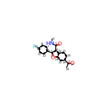 CNC(=O)c1c(-c2ccc(F)cc2)oc2cc(C(C)=O)ccc12